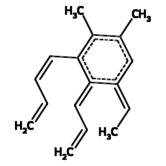 C=C/C=C\c1c(C)c(C)cc(=C/C)/c1=C\C=C